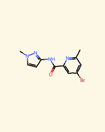 Cc1cc(Br)cc(C(=O)Nc2ccn(C)n2)n1